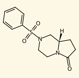 O=C1CC[C@H]2CN(S(=O)(=O)c3ccccc3)CCN12